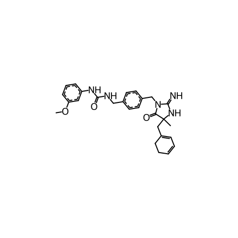 COc1cccc(NC(=O)NCc2ccc(CN3C(=N)NC(C)(CC4=CC=CCC4)C3=O)cc2)c1